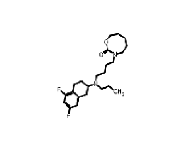 CCCN(CCCCN1CCCCCOC1=O)C1CCc2c(F)cc(F)cc2C1